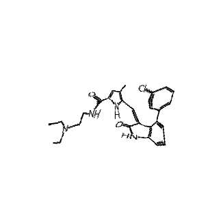 CCN(CC)CCNC(=O)c1cc(C)c(C=C2C(=O)Nc3cccc(-c4cccc(Cl)c4)c32)[nH]1